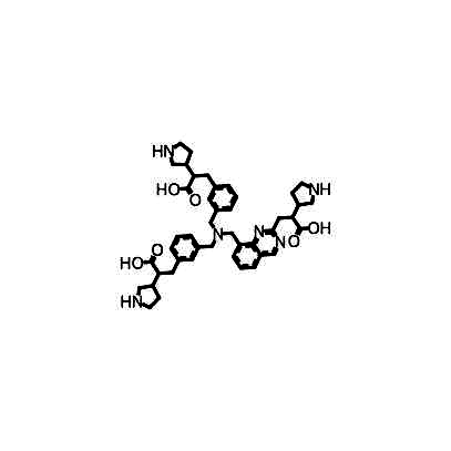 O=C(O)C(Cc1cccc(CN(Cc2cccc(CC(C(=O)O)C3CCNC3)c2)Cc2cccc3cnc(CC(C(=O)O)C4CCNC4)nc23)c1)C1CCNC1